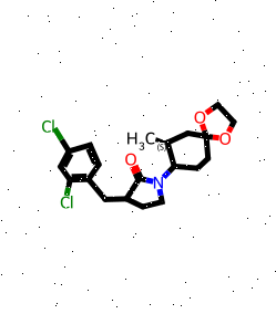 C[C@H]1CC2(CCC1N1CCC(Cc3ccc(Cl)cc3Cl)C1=O)OCCO2